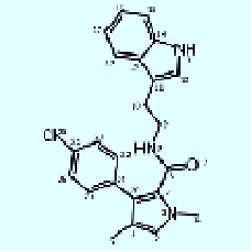 Cc1cn(C)c(C(=O)NCCc2c[nH]c3ccccc23)c1-c1ccc(Cl)cc1